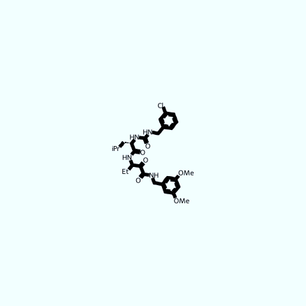 CCC(NC(=O)[C@H](CC(C)C)NC(=O)NCc1cccc(Cl)c1)C(=O)C(=O)NCc1cc(OC)cc(OC)c1